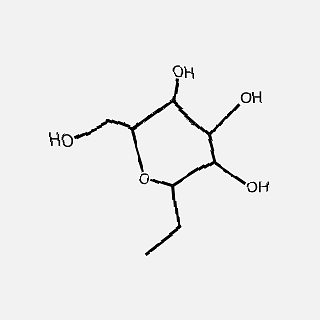 CCC1OC(CO)C(O)C(O)C1O